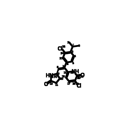 CC(C)c1ccc(C(=C[C@H]2CCC(=O)N2)c2ccc(Cl)c(=O)[nH]2)cc1Cl